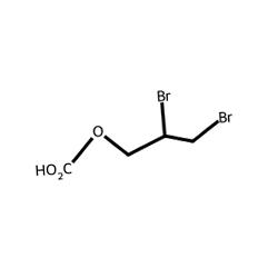 O=C(O)OCC(Br)CBr